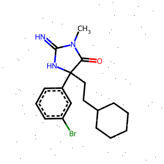 CN1C(=N)NC(CCC2CCCCC2)(c2cccc(Br)c2)C1=O